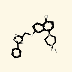 CN1CCN(c2ccc(Cl)c3ccc(OCc4nc(-c5ccccc5)no4)cc23)CC1